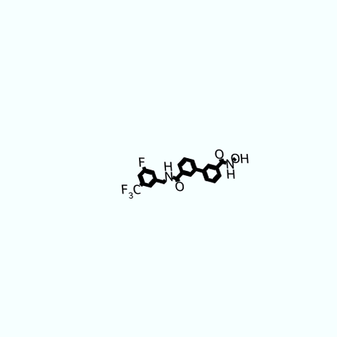 O=C(NO)c1cccc(-c2cccc(C(=O)NCc3cc(F)cc(C(F)(F)F)c3)c2)c1